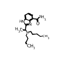 CCCCCN(CCCC)C(C)c1nc2c(C(N)=O)cccc2[nH]1